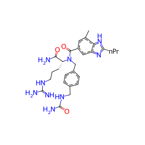 CCCc1nc2cc(C(=O)N(Cc3ccc(CNC(N)=O)cc3)[C@H](CCCNC(=N)N)C(N)=O)cc(C)c2[nH]1